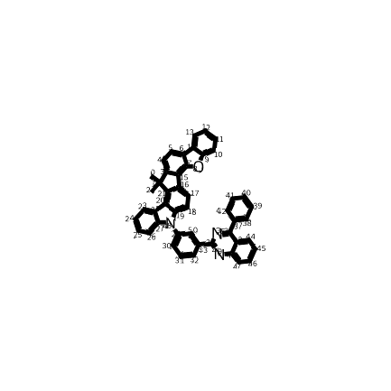 CC1(C)c2ccc3c(oc4ccccc43)c2-c2ccc3c(c21)c1ccccc1n3-c1cccc(-c2nc(-c3ccccc3)c3ccccc3n2)c1